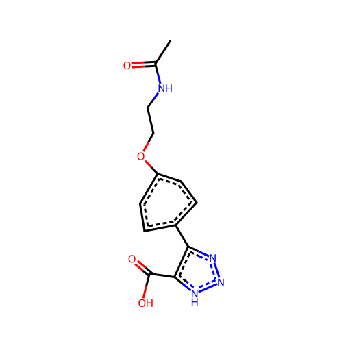 CC(=O)NCCOc1ccc(-c2nn[nH]c2C(=O)O)cc1